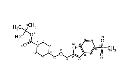 CC(C)(C)OC(=O)N1CCC(COCc2cc3cc(S(C)(=O)=O)ccc3o2)CC1